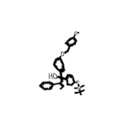 CCC(c1ccccc1)C(O)(c1ccc(OCc2ccc(OC)cc2)cc1)c1ccc(O[Si](C)(C)C(C)(C)C)cc1